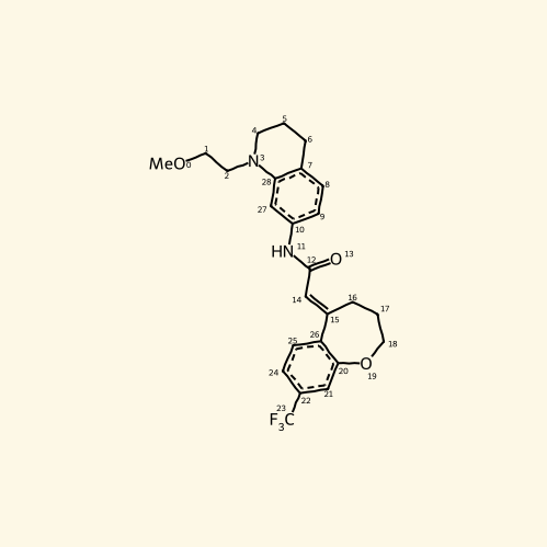 COCCN1CCCc2ccc(NC(=O)C=C3CCCOc4cc(C(F)(F)F)ccc43)cc21